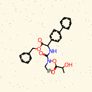 CC(C)CN(OC(=O)C(C)O)C(=O)NC(C(=O)OCc1ccccc1)c1ccc(-c2ccccc2)cc1